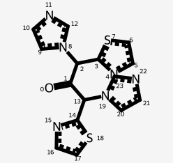 O=C(C(c1nccs1)n1ccnc1)C(c1nccs1)n1ccnc1